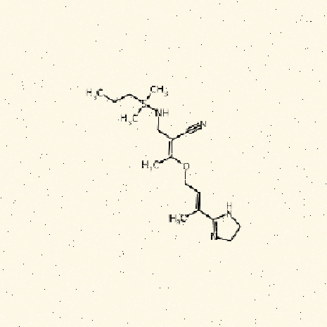 CCCS(C)(C)NC/C(C#N)=C(\C)OC/C=C(\C)C1=NCCN1